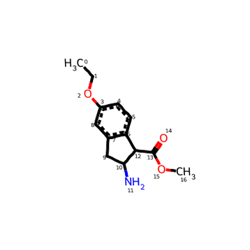 CCOc1ccc2c(c1)CC(N)C2C(=O)OC